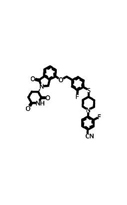 N#Cc1ccc(N2CCC(Sc3ccc(COc4cccc5c4CN([C@H]4CCC(=O)NC4=O)C5=O)cc3F)CC2)c(F)c1